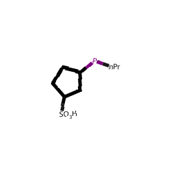 CCC[P]C1CCC(S(=O)(=O)O)C1